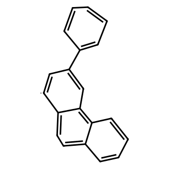 [c]1cc(-c2ccccc2)cc2c1ccc1ccccc12